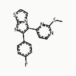 CSc1nccc(-c2c(-c3ccc(F)cc3)nc3sccn23)n1